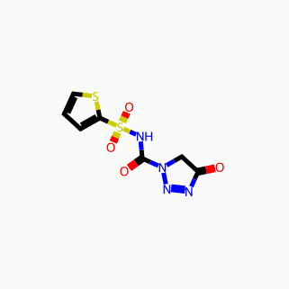 O=C1CN(C(=O)NS(=O)(=O)c2cccs2)N=N1